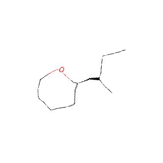 CCC(C)[C@H]1CCCCO1